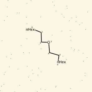 [CH2]CCCCCC[CH]OCCCCCCCC